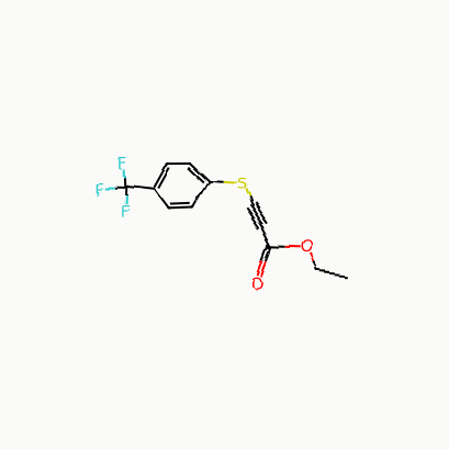 CCOC(=O)C#CSc1ccc(C(F)(F)F)cc1